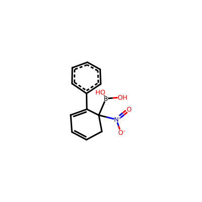 O=[N+]([O-])C1(B(O)O)CC=CC=C1c1ccccc1